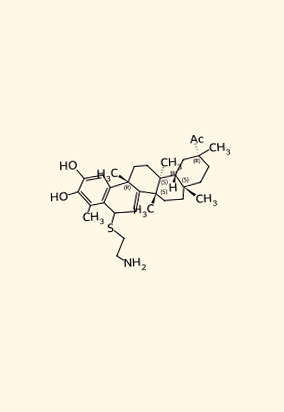 CC(=O)[C@]1(C)CC[C@]2(C)CC[C@]3(C)C4=CC(SCCN)c5c(cc(O)c(O)c5C)[C@]4(C)CC[C@@]3(C)[C@@H]2C1